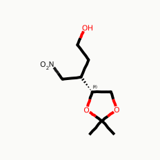 CC1(C)OC[C@@H](C(CCO)C[N+](=O)[O-])O1